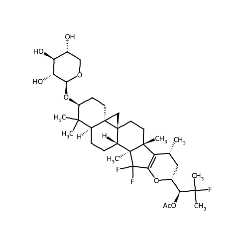 CC(=O)O[C@@H]([C@H]1C[C@@H](C)C2=C(O1)C(F)(F)[C@@]1(C)[C@@H]3CC[C@H]4C(C)(C)[C@@H](O[C@@H]5OC[C@@H](O)[C@H](O)[C@H]5O)CC[C@@]45C[C@@]35CC[C@]21C)C(C)(C)F